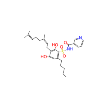 CCCCCc1cc(O)c(CC=C(C)CCC=C(C)C)c(O)c1S(=O)(=O)NC(=O)c1cccnc1